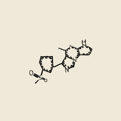 Cc1nc2[nH]ccc2n2cnc(-c3cccc(S(C)(=O)=O)c3)c12